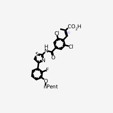 CCCCCOc1cccc(-c2csc(NC(=O)c3cc(Cl)c(/C=C(\C)C(=O)O)c(Cl)c3)n2)c1F